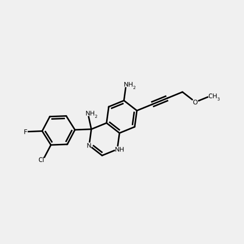 COCC#Cc1cc2c(cc1N)C(N)(c1ccc(F)c(Cl)c1)N=CN2